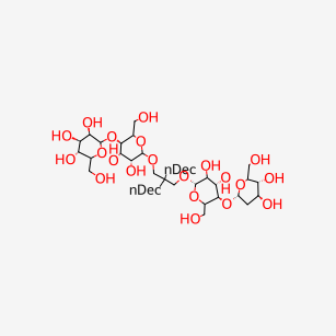 CCCCCCCCCCC(CCCCCCCCCC)(COC1OC(CO)[C@H](OC2OC(CO)[C@H](O)[C@@H](O)[C@H]2O)[C@@H](O)[C@H]1O)CO[C@H]1OC(CO)[C@H](O[C@H]2C[C@H](O)[C@@H](O)C(CO)O2)[C@@H](O)C1O